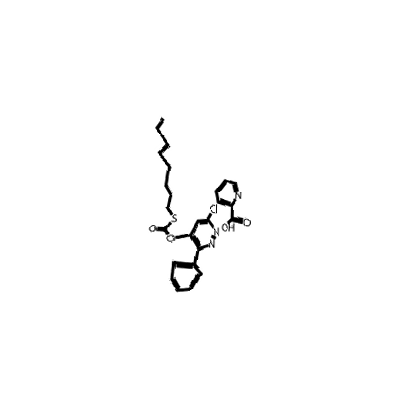 CCCCCCCCSC(=O)Oc1cc(Cl)nnc1-c1ccccc1.O=C(O)c1ccccn1